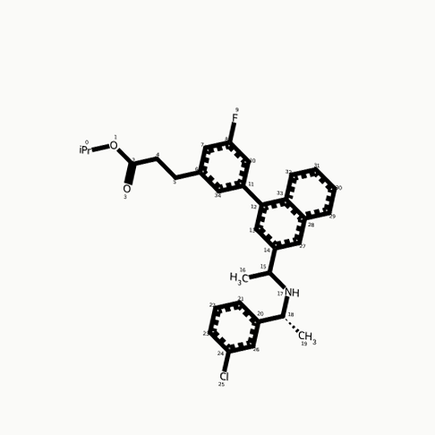 CC(C)OC(=O)CCc1cc(F)cc(-c2cc(C(C)N[C@H](C)c3cccc(Cl)c3)cc3ccccc23)c1